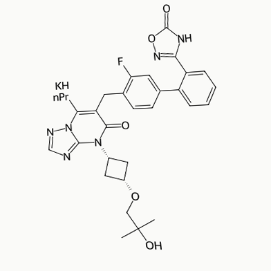 CCCc1c(Cc2ccc(-c3ccccc3-c3noc(=O)[nH]3)cc2F)c(=O)n([C@H]2C[C@@H](OCC(C)(C)O)C2)c2ncnn12.[KH]